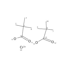 CC(C)(C)C(=O)[O-].CC(C)(C)C(=O)[O-].[Cr+2]